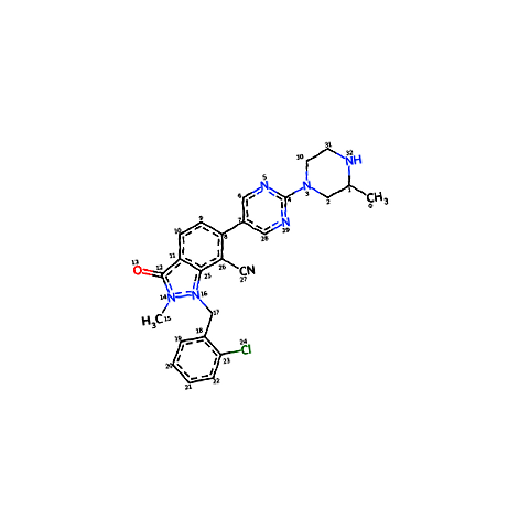 CC1CN(c2ncc(-c3ccc4c(=O)n(C)n(Cc5ccccc5Cl)c4c3C#N)cn2)CCN1